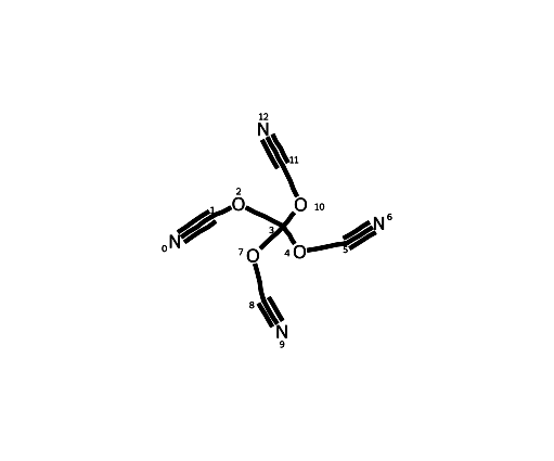 N#COC(OC#N)(OC#N)OC#N